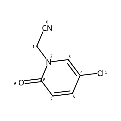 N#CCn1cc(Cl)ccc1=O